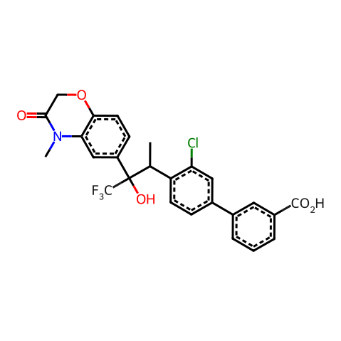 CC(c1ccc(-c2cccc(C(=O)O)c2)cc1Cl)C(O)(c1ccc2c(c1)N(C)C(=O)CO2)C(F)(F)F